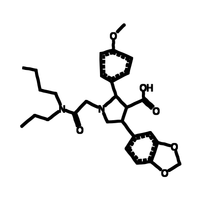 CCCCN(CCC)C(=O)CN1CC(c2ccc3c(c2)OCO3)C(C(=O)O)C1c1ccc(OC)cc1